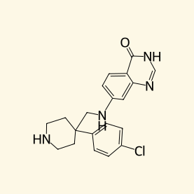 O=c1[nH]cnc2cc(NCC3(c4ccc(Cl)cc4)CCNCC3)ccc12